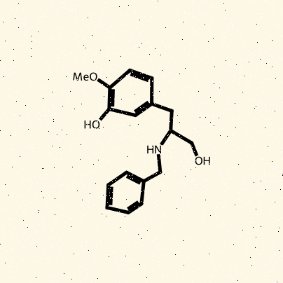 COc1ccc(CC(CO)NCc2ccccc2)cc1O